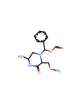 COCC1C(=O)NC(C)CN1C(OC=O)c1ccccc1